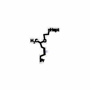 CCCCCCCCCOC(C)C/C=C\CC(C)C